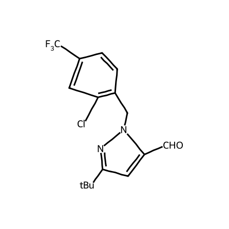 CC(C)(C)c1cc(C=O)n(Cc2ccc(C(F)(F)F)cc2Cl)n1